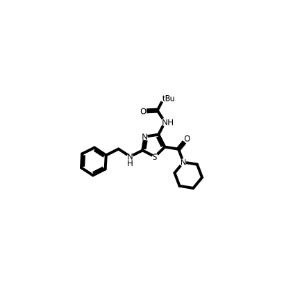 CC(C)(C)C(=O)Nc1nc(NCc2ccccc2)sc1C(=O)N1CCCCC1